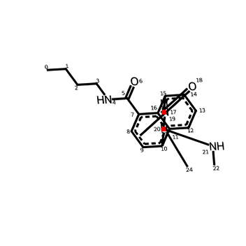 CCCCNC(=O)c1ccc2c3cccc(c13)C(=O)NC(NC)N2C